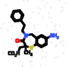 CC1(CC(=O)O)Sc2ccc(N)cc2CN(CCc2ccccc2)C1=O